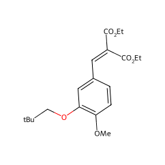 CCOC(=O)C(=Cc1ccc(OC)c(OCC(C)(C)C)c1)C(=O)OCC